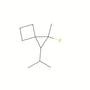 CC(C)C1C(C)(F)C12CCC2